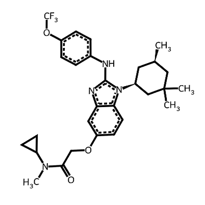 C[C@@H]1C[C@H](n2c(Nc3ccc(OC(F)(F)F)cc3)nc3cc(OCC(=O)N(C)C4CC4)ccc32)CC(C)(C)C1